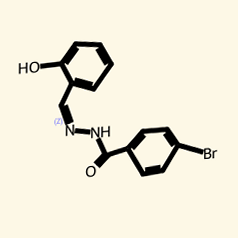 O=C(N/N=C\c1ccccc1O)c1ccc(Br)cc1